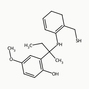 CCC(C)(PC1=C(CS)CCC=C1)c1cc(OC)ccc1O